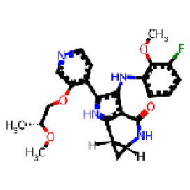 COc1c(F)cccc1Nc1c(-c2ccncc2OC[C@@H](C)OC)[nH]c2c1C(=O)N[C@@H]1C[C@H]21